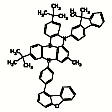 Cc1cc2c3c(c1)N(c1ccc4c(c1)C(C)(C)c1ccccc1-4)c1cc(C(C)(C)C)ccc1B3c1ccc(C(C)(C)C)cc1N2c1ccc(-c2cccc3oc4ccccc4c23)cc1